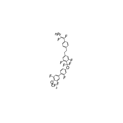 CCC/C(F)=C(\F)c1ccc(CCc2cc(F)c(C(F)(F)Oc3ccc(-c4cc(F)c(OC(F)(F)F)c(F)c4)c(F)c3)c(F)c2)cc1